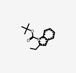 CCc1cc2ccccc2n1C(=O)OC(C)(C)C